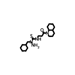 NN(CC1CCCCC1)C(=S)NCCC(=O)N1CCCC2CCCCC21